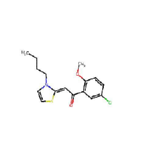 CCCCN1C=CSC1=CC(=O)c1cc(Cl)ccc1OC